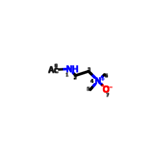 CC(=O)NCC[N+](C)(C)[O-]